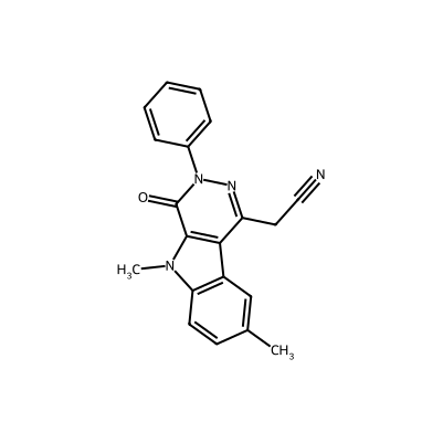 Cc1ccc2c(c1)c1c(CC#N)nn(-c3ccccc3)c(=O)c1n2C